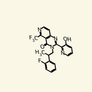 CC(Cn1c(-c2ncccc2O)nc2ccnc(C(F)(F)F)c2c1=O)c1ccccc1F